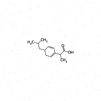 CC(C)CC1C=CC(C(C)C(=O)O)=CC1